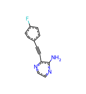 Nc1nccnc1C#Cc1ccc(F)cc1